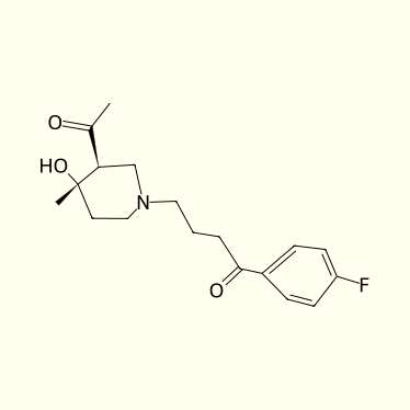 CC(=O)[C@H]1CN(CCCC(=O)c2ccc(F)cc2)CC[C@]1(C)O